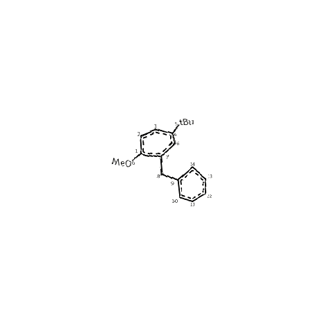 COc1ccc(C(C)(C)C)cc1Cc1ccccc1